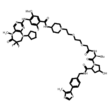 COc1cc(C(=O)NC2CCN(CCOCCOCC(=O)N[C@H](C(=O)N3CC(O)CC3C(=O)NCc3ccc(-c4scnc4C)cc3)C(C)(C)C)CC2)c(F)cc1Nc1ncc2c(n1)N(C1CCCC1)CC(F)(F)C(=O)N2C